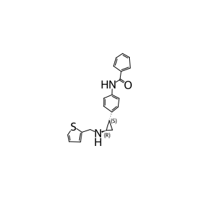 O=C(Nc1ccc([C@@H]2C[C@H]2NCc2cccs2)cc1)c1ccccc1